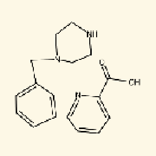 O=C(O)c1ccccn1.c1ccc(CN2CCNCC2)cc1